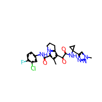 Cc1c(C(=O)C(=O)NC2(c3cn(C)nn3)CC2)c2n(c1C(=O)Nc1ccc(F)c(Cl)c1)CCC2